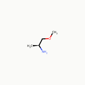 CO[CH][C@H](C)N